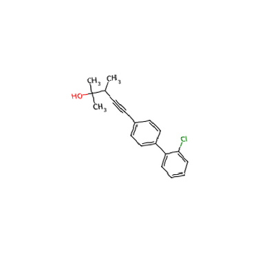 CC(C#Cc1ccc(-c2ccccc2Cl)cc1)C(C)(C)O